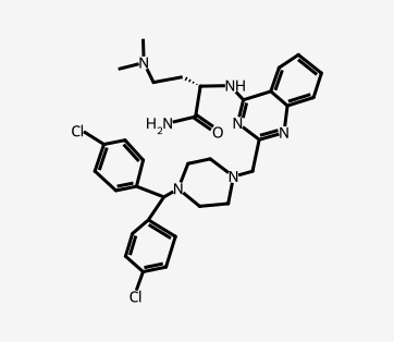 CN(C)CC[C@H](Nc1nc(CN2CCN(C(c3ccc(Cl)cc3)c3ccc(Cl)cc3)CC2)nc2ccccc12)C(N)=O